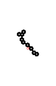 c1ccc2cc(-c3ccc4c(c3)oc3cc(-c5ccc6ccc(-c7cc8ccccc8c8ccccc78)cc6c5)ccc34)ccc2c1